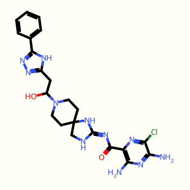 Nc1nc(N)c(C(=O)/N=C2\NCC3(CCN(C(O)Cc4nnc(-c5ccccc5)[nH]4)CC3)N2)nc1Cl